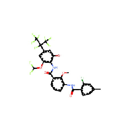 COc1c(NC(=O)c2ccc(C)cc2Cl)cccc1C(=O)Nc1c(Br)cc(C(F)(C(F)(F)F)C(F)(F)F)cc1OC(F)F